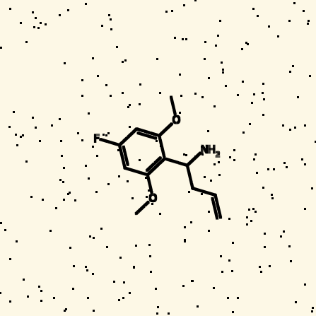 C=CCC(N)c1c(OC)cc(F)cc1OC